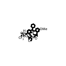 COc1ccc2c(c1)C1CC1(C(=O)N1C3COCC34COCC14)Cn1c-2c(C2CCCCC2)c2ccc(C(=O)NS(=O)(=O)CC(F)(F)F)cc21